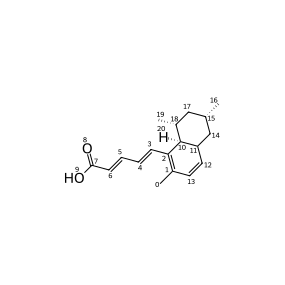 CC1=C(/C=C/C=C/C(=O)O)[C@@H]2C(C=C1)C[C@@H](C)C[C@H]2C